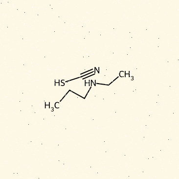 CCCNCC.N#CS